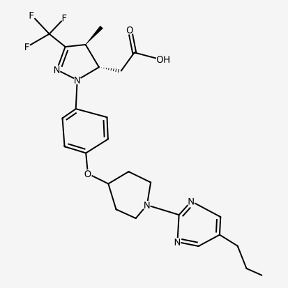 CCCc1cnc(N2CCC(Oc3ccc(N4N=C(C(F)(F)F)[C@@H](C)[C@@H]4CC(=O)O)cc3)CC2)nc1